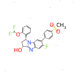 CS(=O)(=O)c1ccc(-c2cc3c(cc2F)nc2n3[C@H](c3ccccc3OC(F)F)CC2O)cc1